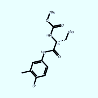 Cc1cc(NC(=O)[C@@H](CC(C)(C)C)NC(=O)OC(C)(C)C)ccc1Br